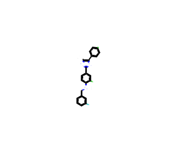 Cc1nc(-c2ccc(NCc3cccc(F)c3)c(Cl)c2)[nH]c1-c1ccc(Cl)cc1